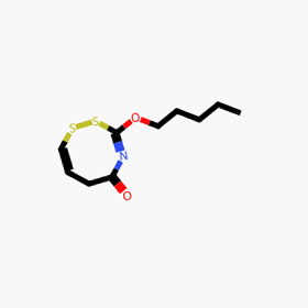 CCCCCO/C1=N/C(=O)C/C=C\SS1